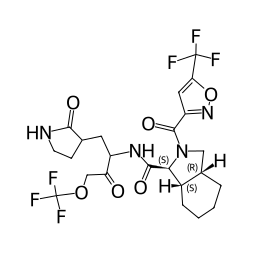 O=C1NCCC1CC(NC(=O)[C@@H]1[C@H]2CCCC[C@H]2CN1C(=O)c1cc(C(F)(F)F)on1)C(=O)COC(F)(F)F